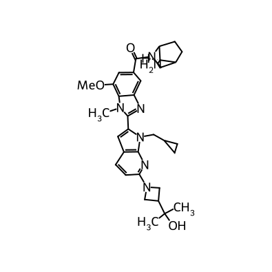 COc1cc(C(=O)N2CC3CCC2[C@@H]3N)cc2nc(-c3cc4ccc(N5CC(C(C)(C)O)C5)nc4n3CC3CC3)n(C)c12